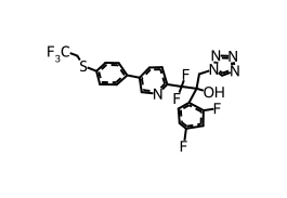 OC(Cn1cnnn1)(c1ccc(F)cc1F)C(F)(F)c1ccc(-c2ccc(SCC(F)(F)F)cc2)cn1